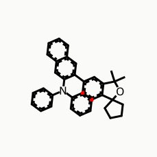 CC1(C)OC2(CCCC2)c2ccc(-c3cc4ccccc4cc3N(c3ccccc3)c3ccccc3)cc21